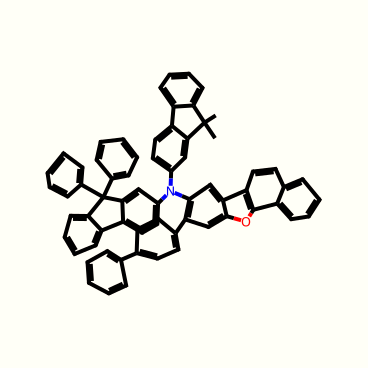 CC1(C)c2ccccc2-c2ccc(N(c3ccc4c(c3)C(c3ccccc3)(c3ccccc3)c3ccccc3-4)c3cc4c(cc3-c3ccc(-c5ccccc5)cc3)oc3c5ccccc5ccc43)cc21